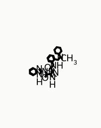 CN(Cc1ccccc1NC(=O)c1nc[nH]c1C(=O)NC1=NC2C=CC=CC2N1)C1CCCCC1